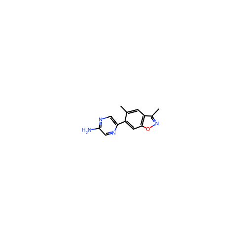 Cc1cc2c(C)noc2cc1-c1cnc(N)cn1